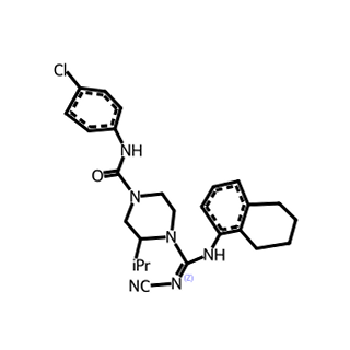 CC(C)C1CN(C(=O)Nc2ccc(Cl)cc2)CCN1/C(=N\C#N)Nc1cccc2c1CCCC2